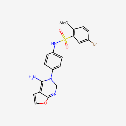 COc1ccc(Br)cc1S(=O)(=O)Nc1ccc(N2CN=c3occc3=C2N)cc1